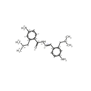 CN(C)Cc1cc(N)ccc1/C=N/NC(=O)c1ccc(N)cc1CN(C)C